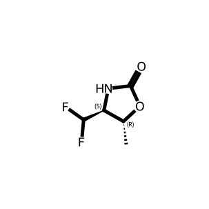 C[C@H]1OC(=O)N[C@@H]1C(F)F